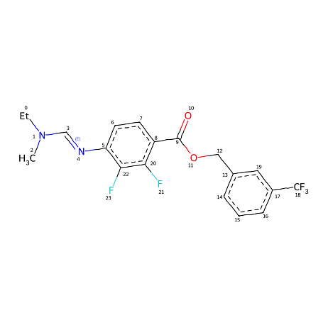 CCN(C)/C=N/c1ccc(C(=O)OCc2cccc(C(F)(F)F)c2)c(F)c1F